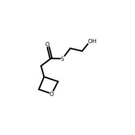 O=C(CC1COC1)SCCO